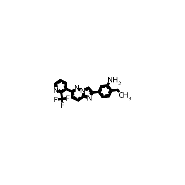 CCc1ccc(-c2cn3nc(-c4cccnc4C(F)(F)F)ccc3n2)cc1N